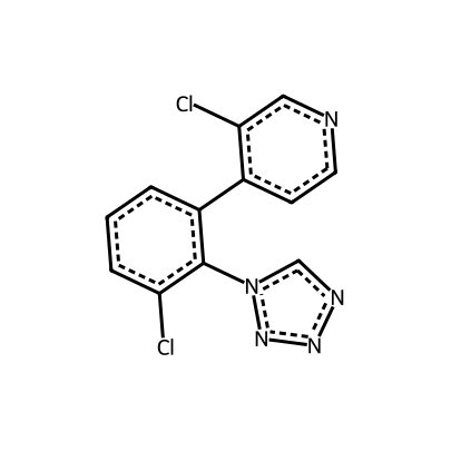 Clc1cnccc1-c1cccc(Cl)c1-n1cnnn1